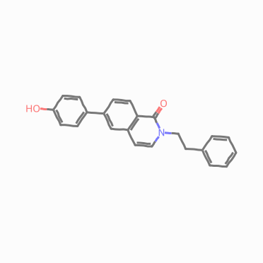 O=c1c2ccc(-c3ccc(O)cc3)cc2ccn1CCc1ccccc1